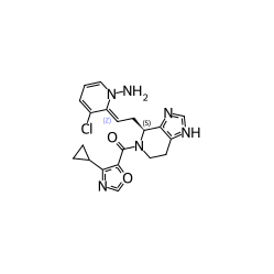 NN1C=CC=C(Cl)/C1=C/C[C@H]1c2nc[nH]c2CCN1C(=O)c1ocnc1C1CC1